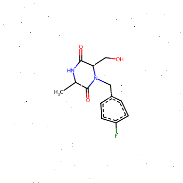 CC1NC(=O)C(CO)N(Cc2ccc(F)cc2)C1=O